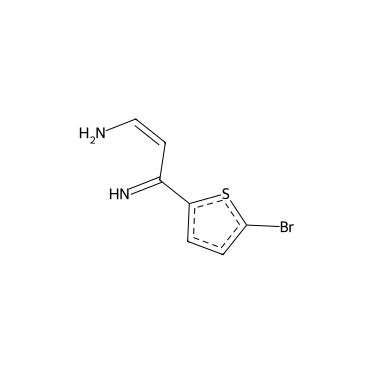 N=C(/C=C\N)c1ccc(Br)s1